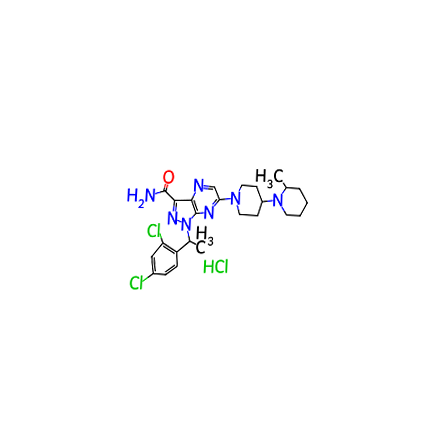 CC1CCCCN1C1CCN(c2cnc3c(C(N)=O)nn(C(C)c4ccc(Cl)cc4Cl)c3n2)CC1.Cl